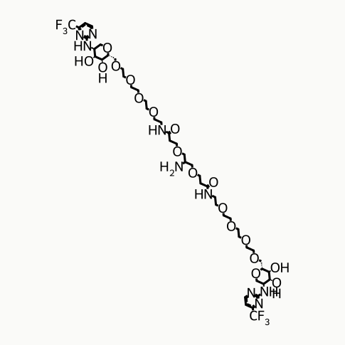 NC(COCCC(=O)NCCOCCOCCOCCOC[C@H]1OC[C@H](Nc2nccc(C(F)(F)F)n2)[C@@H](O)[C@H]1O)COCCC(=O)NCCOCCOCCOCCOC[C@H]1OC[C@H](Nc2nccc(C(F)(F)F)n2)[C@@H](O)[C@H]1O